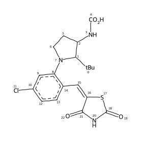 CC(C)(C)C1C(NC(=O)O)CCN1c1cc(Cl)ccc1C=C1SC(=O)NC1=O